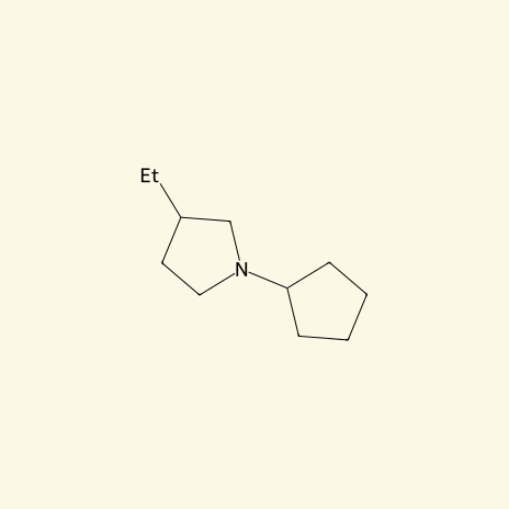 [CH2]CC1CCN(C2CCCC2)C1